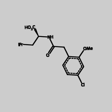 COc1cc(Cl)ccc1CC(=O)N[C@@H](CC(C)C)C(=O)O